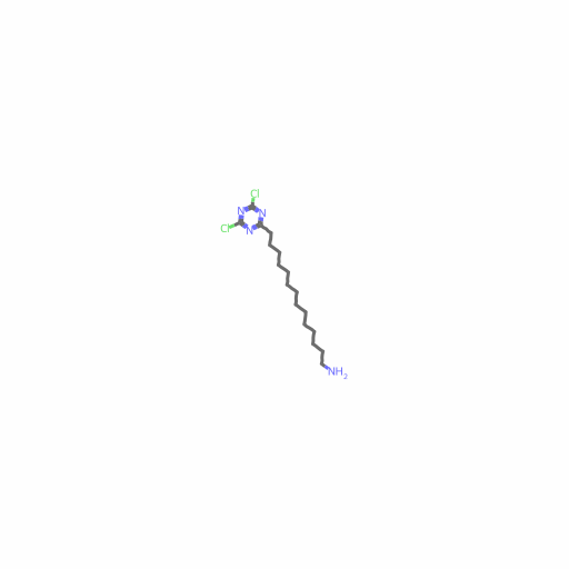 NCCCCCCCCCCCCCCc1nc(Cl)nc(Cl)n1